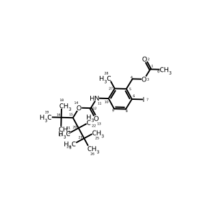 CC(=O)OCc1c(I)ccc(NC(=O)OC(C(C)(C)C)C(C)(C)C(C)(C)C)c1C